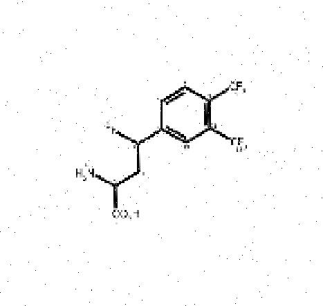 CCC(CC(N)C(=O)O)c1ccc(C(F)(F)F)c(C(F)(F)F)c1